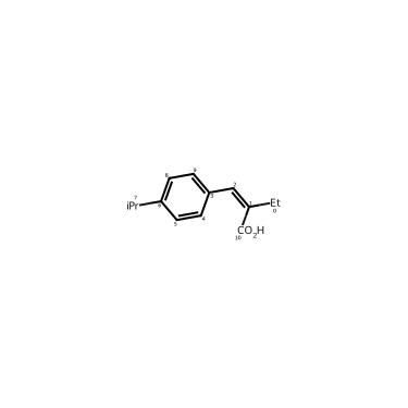 CCC(=Cc1ccc(C(C)C)cc1)C(=O)O